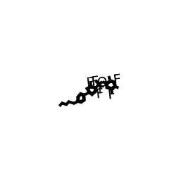 CCCCCc1ccc(-c2cc(F)c(C(F)(F)Oc3cc(F)c(C)c(F)c3C)c(F)c2)cc1